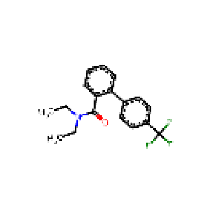 CCN(CC)C(=O)c1ccccc1-c1ccc(C(F)(F)F)cc1